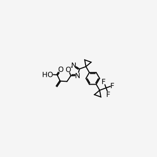 C=C(Cc1nc(C2(c3ccc(C4(C(F)(F)F)CC4)cc3)CC2)no1)C(=O)O